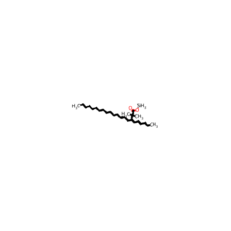 CCCCCCCCCCCCCCCC(CCCCCC)C(C)(C)C(=O)O[SiH3]